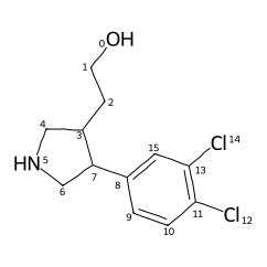 OCCC1CNCC1c1ccc(Cl)c(Cl)c1